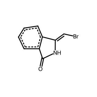 O=C1NC(=CBr)c2ccccc21